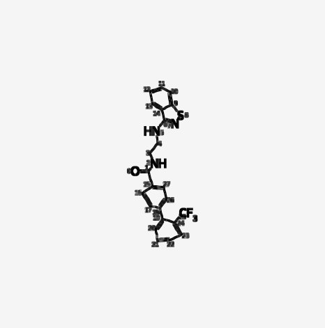 O=C(NCCNc1nsc2ccccc12)c1ccc(-c2ccccc2C(F)(F)F)cc1